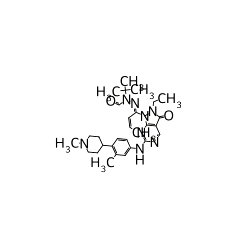 C/C=C\C(=N/N(C=O)C(C)(C)C)n1c2nc(Nc3ccc(C4CCN(C)CC4)c(C)c3)ncc2c(=O)n1CC